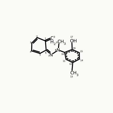 C=C1C=CC=C/C1=N/N(C)c1cc(C)ccc1O